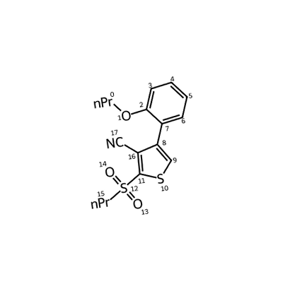 CCCOc1ccccc1-c1csc(S(=O)(=O)CCC)c1C#N